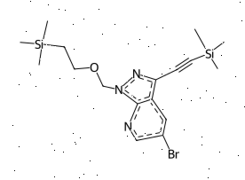 C[Si](C)(C)C#Cc1nn(COCC[Si](C)(C)C)c2ncc(Br)cc12